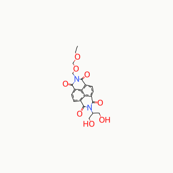 CCOCOCN1C(=O)c2ccc3c4c(ccc(c24)C1=O)C(=O)N(C(CO)CO)C3=O